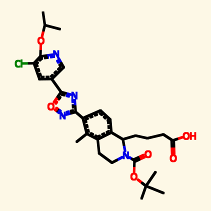 Cc1c(-c2noc(-c3cnc(OC(C)C)c(Cl)c3)n2)ccc2c1CCN(C(=O)OC(C)(C)C)C2CCCC(=O)O